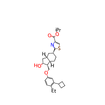 CCc1ccc(OC[C@@H]2[C@H]3CC[C@H](c4nc(C(=O)OC(C)C)cs4)C[C@H]3C[C@@H]2O)cc1C1CCC1